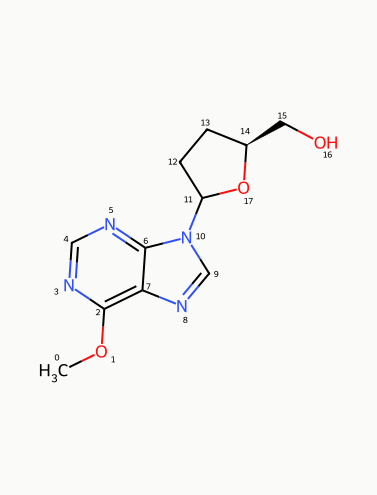 COc1ncnc2c1ncn2C1CC[C@@H](CO)O1